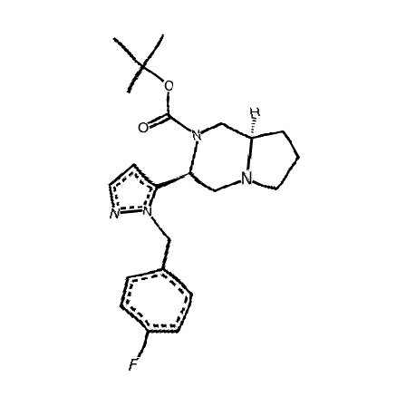 CC(C)(C)OC(=O)N1C[C@H]2CCCN2C[C@H]1c1ccnn1Cc1ccc(F)cc1